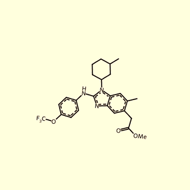 COC(=O)Cc1cc2nc(Nc3ccc(OC(F)(F)F)cc3)n(C3CCCC(C)C3)c2cc1C